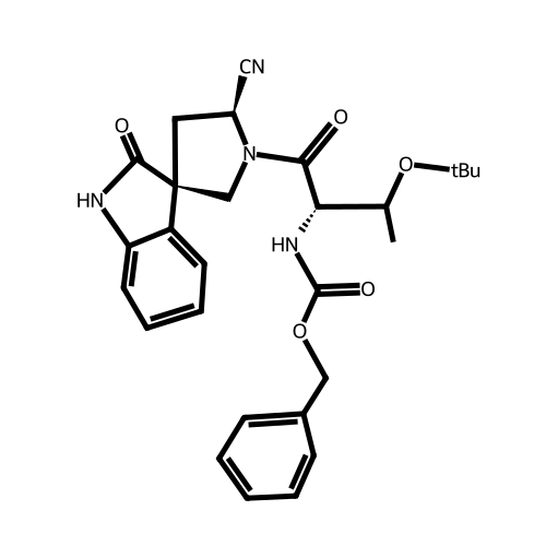 CC(OC(C)(C)C)[C@H](NC(=O)OCc1ccccc1)C(=O)N1C[C@]2(C[C@H]1C#N)C(=O)Nc1ccccc12